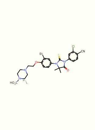 CCc1cc(N2C(=S)N(c3ccc(C#N)c(Cl)c3)C(=O)C2(C)C)ccc1OCCN1CCN(C(=O)O)[C@@H](C)C1